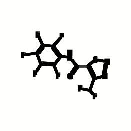 O=C(Nc1c(F)c(F)c(F)c(F)c1F)c1snnc1C(F)F